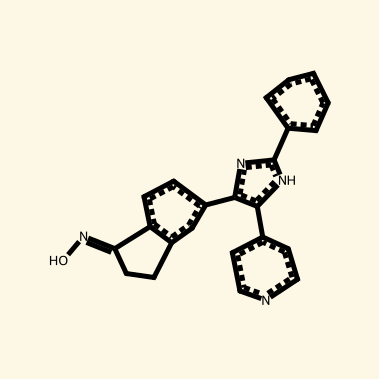 ON=C1CCc2cc(-c3nc(-c4ccccc4)[nH]c3-c3ccncc3)ccc21